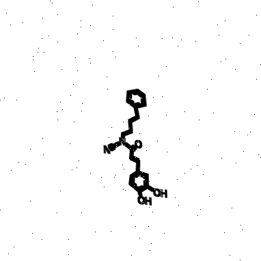 N#CN(CCCCc1ccccc1)C(=O)C=Cc1ccc(O)c(O)c1